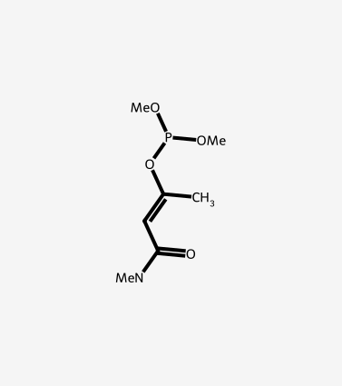 CNC(=O)/C=C(\C)OP(OC)OC